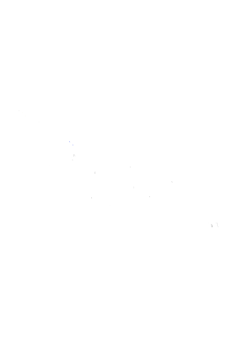 CCCC1CCC(c2ccc(C(=O)N=C=S)cc2)CC1